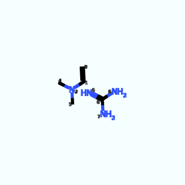 C=CN(C)C.N=C(N)N